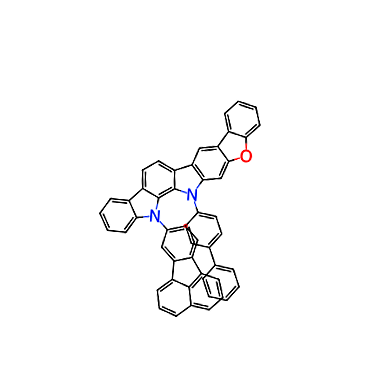 c1ccc(-c2ccc(-n3c4cc5oc6ccccc6c5cc4c4ccc5c6ccccc6n(-c6ccc7c(c6)-c6cccc8cccc-7c68)c5c43)cc2)cc1